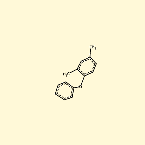 Cc1ccc(Oc2ccccc2)c(C)c1